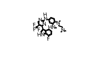 CNc1cc(Nc2ncc(C(F)(F)F)c(-c3c[nH]c4c(F)cccc34)n2)ccc1N(C)CCN(C)C